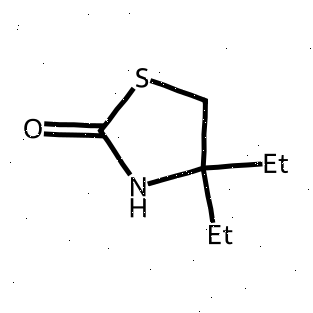 CCC1(CC)CSC(=O)N1